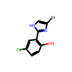 CCc1c[nH]c(-c2cc(Cl)ccc2O)n1